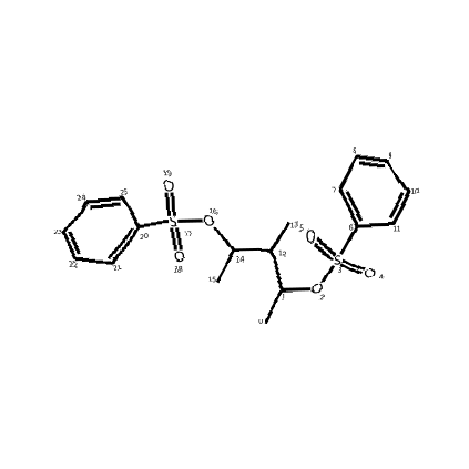 CC(OS(=O)(=O)c1ccccc1)C(C)C(C)OS(=O)(=O)c1ccccc1